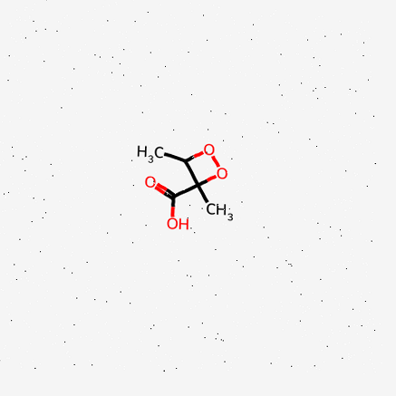 CC1OOC1(C)C(=O)O